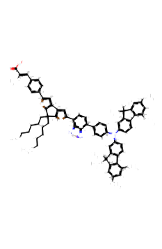 CCCCCCC1(CCCCCC)c2sc(-c3ccc(/C=C(\C)C(=O)O)cc3)cc2-c2cc(-c3ccc(-c4ccc(N(c5ccc6c(c5)C(C)(C)c5cc(C)cc(C)c5-6)c5ccc6c(c5)C(C)(C)c5cc(C)cc(C)c5-6)cc4)c4nsnc34)sc21